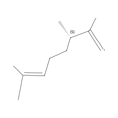 [CH]=C(C)[C@@H](C)CCC=C(C)C